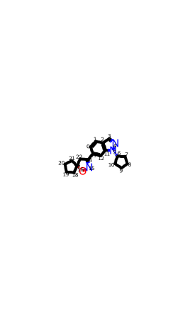 c1cc2cnn(C3CCCC3)c2cc1C1=NOC2(CCCC2)C1